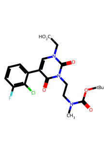 CN(CCn1c(=O)c(-c2cccc(F)c2Cl)cn(CC(=O)O)c1=O)C(=O)OC(C)(C)C